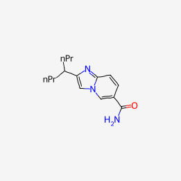 CCCC(CCC)c1cn2cc(C(N)=O)ccc2n1